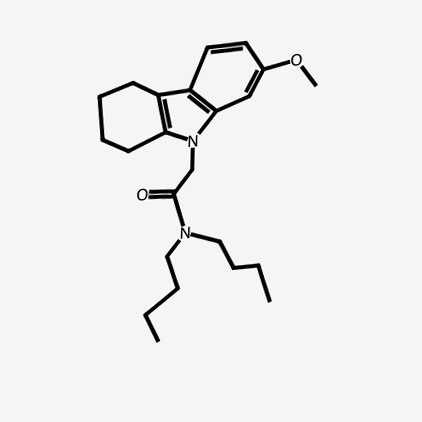 CCCCN(CCCC)C(=O)Cn1c2c(c3ccc(OC)cc31)CCCC2